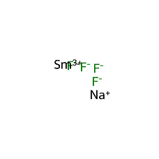 [F-].[F-].[F-].[F-].[Na+].[Sm+3]